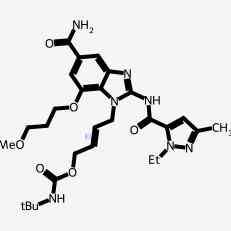 CCn1nc(C)cc1C(=O)Nc1nc2cc(C(N)=O)cc(OCCCOC)c2n1C/C=C/COC(=O)NC(C)(C)C